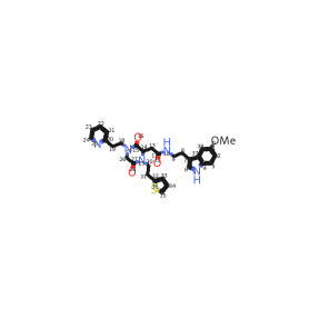 COc1ccc2[nH]cc(CCNC(=O)CC3C(=O)N(CCc4ccccn4)CC(=O)N3CCc3cccs3)c2c1